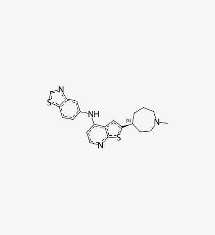 CN1CCC[C@H](c2cc3c(Nc4ccc5scnc5c4)ccnc3s2)CC1